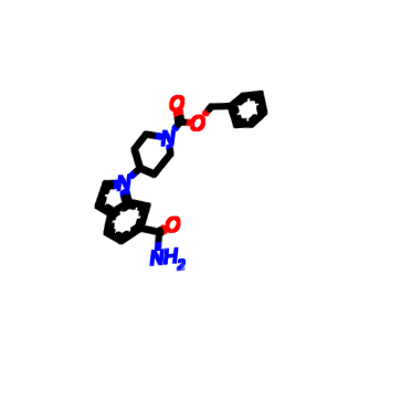 NC(=O)c1ccc2ccn(C3CCN(C(=O)OCc4ccccc4)CC3)c2c1